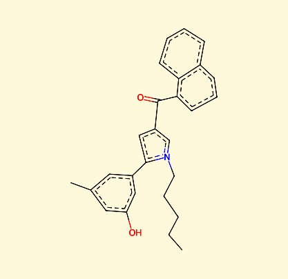 CCCCCn1cc(C(=O)c2cccc3ccccc23)cc1-c1cc(C)cc(O)c1